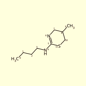 CCCCNC1=NCC(C)CS1